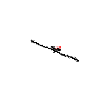 CCCCCCCCCCCCCCCCCCc1c(C)c(CCCCCCCCCCCCCCCCCC)c(C(C)(C)C)c(O)c1C(C)(C)C